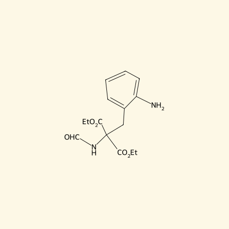 CCOC(=O)C(Cc1ccccc1N)(NC=O)C(=O)OCC